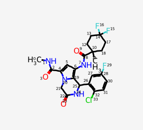 CNC(=O)c1cc(NC(=O)C2(C)CCC(F)(F)CC2)c2n1CC(=O)NC2c1cc(F)ccc1Cl